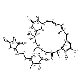 COc1cc2cc(c1Cl)N(C)C(=O)C[C@H](OC(=O)[C@H](C)N(C)C(=O)CCSC1CC(=O)NC1=O)C(C)C[C@](C)(O)[C@@H]1CC(C/C=C/C=C(\C)C2)NC(=O)O1